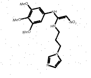 COc1cc(NC(=C[N+](=O)[O-])NCCCn2ccnc2)cc(OC)c1OC